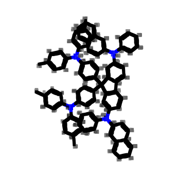 Cc1ccc(N(c2ccc(C)cc2)c2ccc(C3(c4ccc(N(c5ccc(C)cc5)c5ccc(C)cc5)cc4)c4cc(N(c5ccccc5)c5ccc6ccccc6c5)ccc4-c4ccc(N(c5ccccc5)c5ccc6ccccc6c5)cc43)cc2)cc1